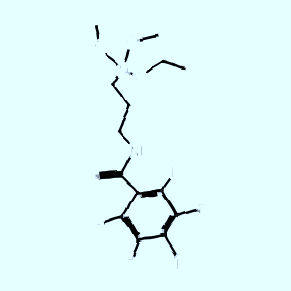 CCO[Si](CCCNC(=O)c1c(F)c(F)c(F)c(F)c1F)(OC)OC